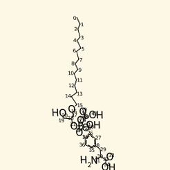 CCCCCCCCCCCCCCCCOC[C@H](CO)OP(=O)(Oc1ccc(C[C@H](N)C(=O)O)cc1)OP(=O)(O)O